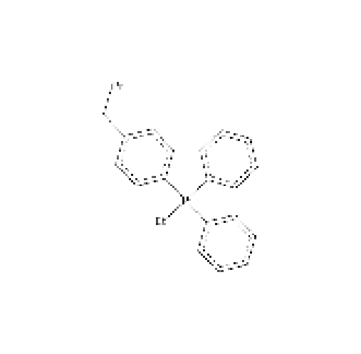 CC[P](c1ccccc1)(c1ccccc1)c1ccc(CC(C)C)cc1